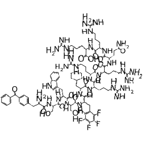 N=C(N)NCCCC(NC(=O)C(CCCNC(=N)N)NC(=O)C(CCC(N)=O)NC(=O)C(CCCNC(=N)N)NC(=O)C(CCCNC(=N)N)NC(=O)C(CCCNC(=N)N)NC(=O)C(CC1CCCCC1)NC(=O)C(Cc1c(F)c(F)c(F)c(F)c1F)NC(=O)C(CO)NC(=O)C(Cc1c[nH]c2ccccc12)NC(=O)C(CO)NC(=O)C(N)Cc1ccc(C(=O)c2ccccc2)cc1)C(=O)O